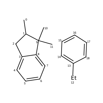 CC1Cc2ccccc2C1(C)C.CCc1ccccc1